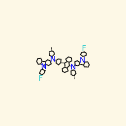 Cc1ccc(N(c2ccc(-c3c4ccccc4c(N(c4ccc(C)cc4)c4ccc5c(c4)c4ccccc4n5-c4ccc(F)cc4)c4ccccc34)cc2)c2ccc3c(c2)c2ccccc2n3-c2ccc(F)cc2)cc1